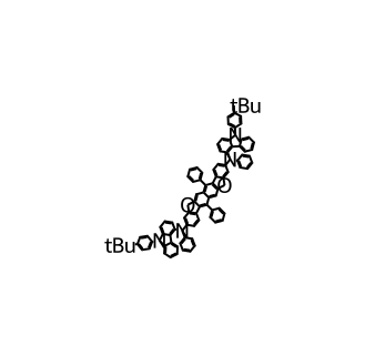 CC(C)(C)c1ccc(-n2c3ccccc3c3c(N(c4ccccc4)c4ccc5c(c4)oc4cc6c(-c7ccccc7)c7c(cc6c(-c6ccccc6)c45)oc4cc(N(c5ccccc5)c5cccc6c5c5ccccc5n6-c5ccc(C(C)(C)C)cc5)ccc47)cccc32)cc1